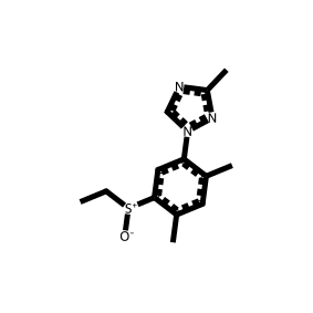 CC[S+]([O-])c1cc(-n2cnc(C)n2)c(C)cc1C